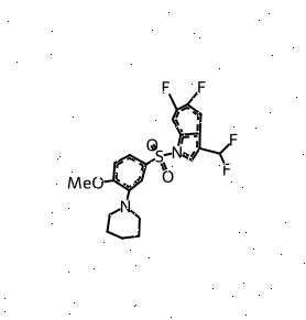 COc1ccc(S(=O)(=O)n2cc(C(F)F)c3cc(F)c(F)cc32)cc1N1CCCCC1